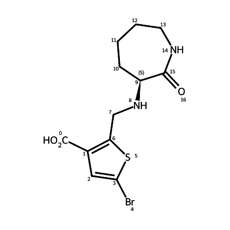 O=C(O)c1cc(Br)sc1CN[C@H]1CCCCNC1=O